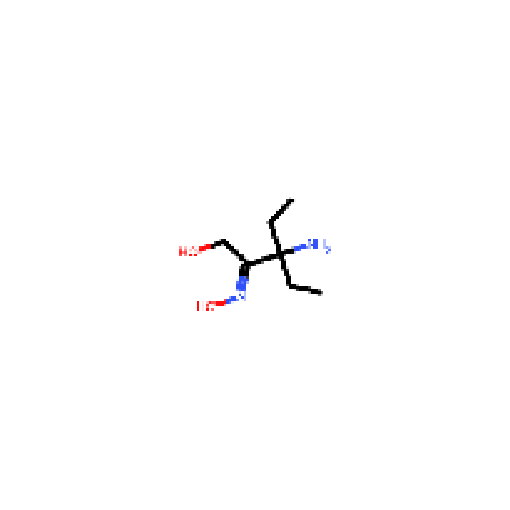 CCC(N)(CC)C(CO)=NO